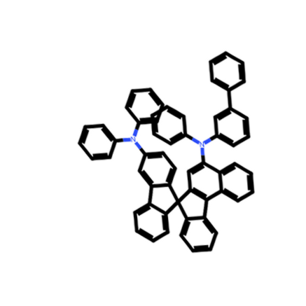 c1ccc(-c2cccc(N(c3ccccc3)c3cc4c(c5ccccc35)-c3ccccc3C43c4ccccc4-c4cc(N(c5ccccc5)c5ccccc5)ccc43)c2)cc1